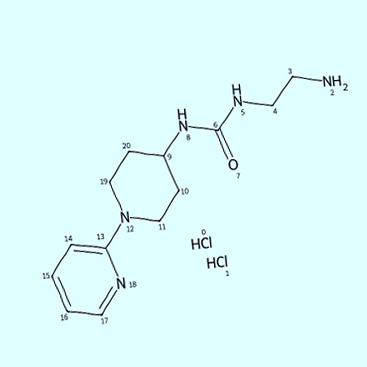 Cl.Cl.NCCNC(=O)NC1CCN(c2ccccn2)CC1